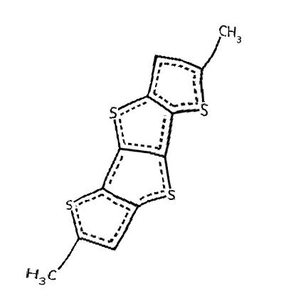 Cc1cc2sc3c4sc(C)cc4sc3c2s1